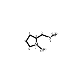 CC(C)SCC1CCCN1C(C)C